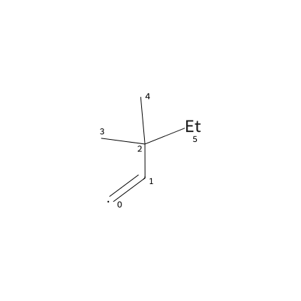 [CH]=CC(C)(C)C[CH2]